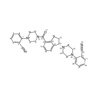 N#Cc1ccccc1N1CCN(C(=O)c2cccc3c2CC[C@@H]3N2CCN(c3ccccc3C#N)CC2)CC1